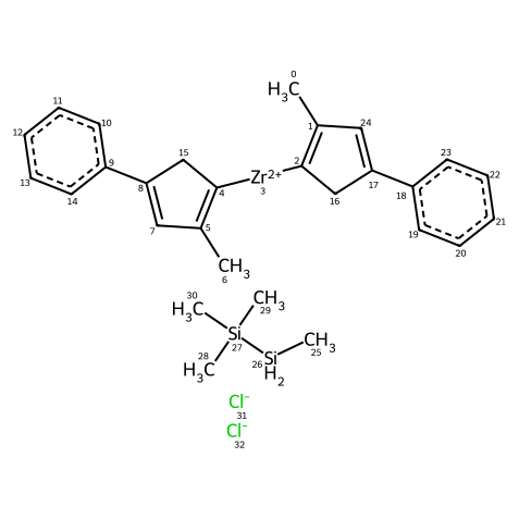 CC1=[C]([Zr+2][C]2=C(C)C=C(c3ccccc3)C2)CC(c2ccccc2)=C1.C[SiH2][Si](C)(C)C.[Cl-].[Cl-]